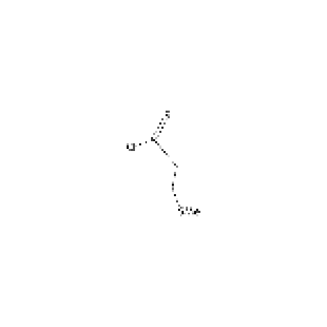 CSCCC(=S)Cl